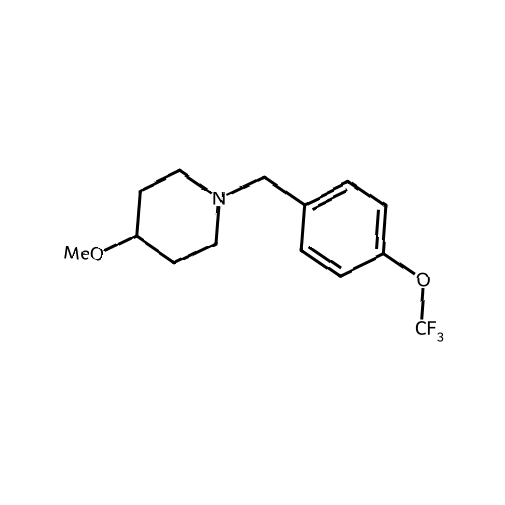 COC1CCN(Cc2ccc(OC(F)(F)F)cc2)CC1